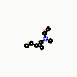 c1ccc(-c2nc(-c3ccc4oc5ccccc5c4c3)nc(-c3ccc4c5cc(-c6ccc7sc8ccccc8c7c6)ccc5c5ccccc5c4c3)n2)cc1